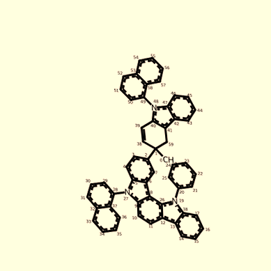 CC1(c2ccc3c(c2)c2c(ccc4c5ccccc5n(-c5ccccc5)c42)n3-c2cccc3ccccc23)C=Cc2c(c3ccccc3n2-c2cccc3ccccc23)C1